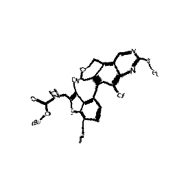 CCSc1ncc2c3c(c(-c4ccc(F)c5sc(NC(=O)OC(C)(C)C)c(C#N)c45)c(Cl)c2n1)COC3